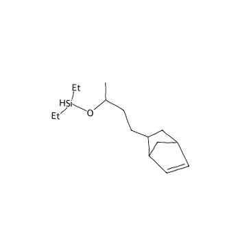 CC[SiH](CC)OC(C)CCC1CC2C=CC1C2